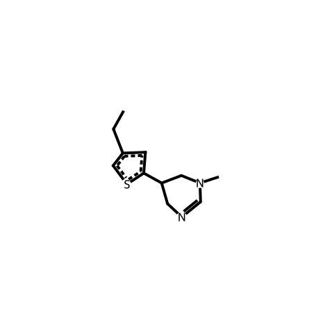 CCc1csc(C2CN=CN(C)C2)c1